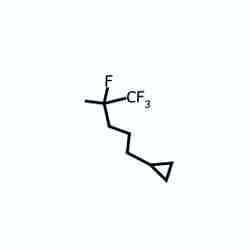 CC(F)(CCCC1CC1)C(F)(F)F